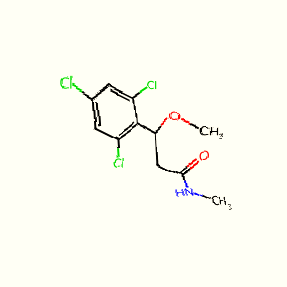 CNC(=O)CC(OC)c1c(Cl)cc(Cl)cc1Cl